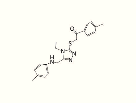 CCn1c(CNc2ccc(C)cc2)nnc1SCC(=O)c1ccc(C)cc1